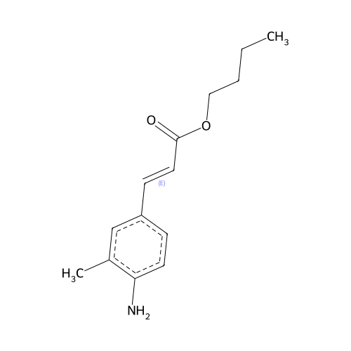 CCCCOC(=O)/C=C/c1ccc(N)c(C)c1